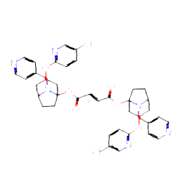 O=C(/C=C/C(=O)OC12CCC(CC(Oc3ccc(Cl)cn3)C1)N2Cc1ccncc1)OC12CCC(CC(Oc3ccc(Cl)cn3)C1)N2Cc1ccncc1